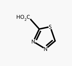 O=C(O)c1nncs1